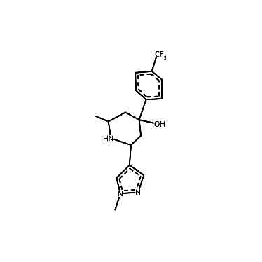 CC1CC(O)(c2ccc(C(F)(F)F)cc2)CC(c2cnn(C)c2)N1